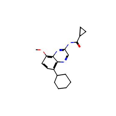 COc1ccc(C2CCCCC2)c2ncc(NC(=O)C3CC3)nc12